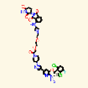 C[C@@H](Oc1cc(-c2cnn(C3CCN(C(=O)COCCOCCN4CC(Nc5cccc6c5C(=O)N(C5CCC(=O)NC5=O)C6=O)C4)CC3)c2)cnc1N)c1c(Cl)ccc(F)c1Cl